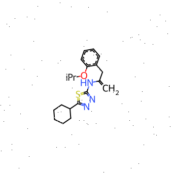 C=C(Cc1ccccc1OC(C)C)Nc1nnc(C2CCCCC2)s1